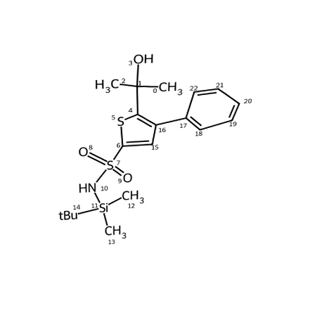 CC(C)(O)c1sc(S(=O)(=O)N[Si](C)(C)C(C)(C)C)cc1-c1ccccc1